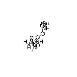 CC(C)(C)OC(=O)NCc1cccc(-c2ccc3c(C(N)=O)c(NC(N)=O)[nH]c3c2)c1